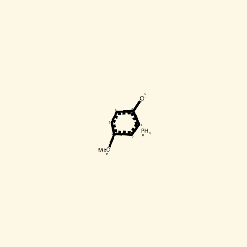 COc1ccc([O])cc1.P